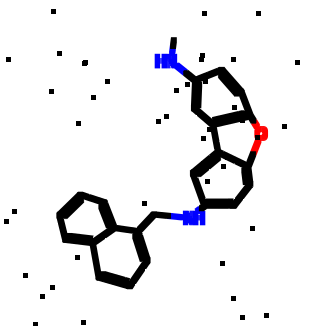 CNc1ccc2oc3ccc(NCc4cccc5ccccc45)cc3c2c1